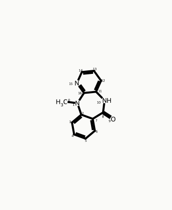 CN1c2ccccc2C(=O)Nc2cccnc21